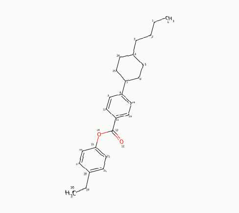 CCCCC1CCC(c2ccc(C(=O)Oc3ccc(CC)cc3)cc2)CC1